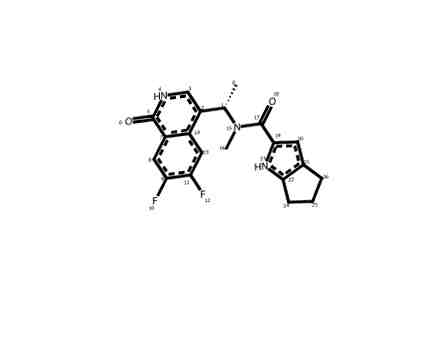 C[C@@H](c1c[nH]c(=O)c2cc(F)c(F)cc12)N(C)C(=O)c1cc2c([nH]1)CCC2